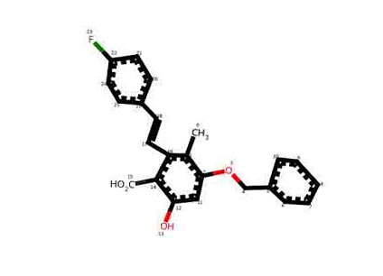 Cc1c(OCc2ccccc2)cc(O)c(C(=O)O)c1C=Cc1ccc(F)cc1